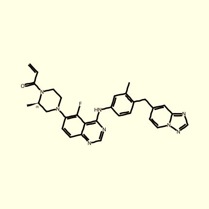 C=CC(=O)N1CCN(c2ccc3ncnc(Nc4ccc(Cc5ccn6ncnc6c5)c(C)c4)c3c2F)C[C@H]1C